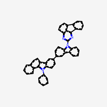 c1ccc(-n2c3ccc(-c4ccc5c(c4)c4ccccc4n5-c4nc5c6c(cccc6n4)-c4ccccc4-5)cc3c3ccc4ccccc4c32)cc1